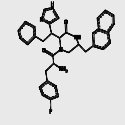 NC(Cc1ccc(F)cc1)C(=O)N1CC(Cc2ccc3ccccc3c2)NC(=O)C1C(Cc1ccccc1)c1c[nH]cn1